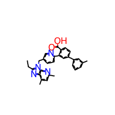 CCc1nc2c(C)cc(C)nc2n1Cc1ccc(-c2cc(-c3cccc(C)c3)ccc2C(=O)O)nc1